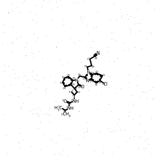 CC(C)NC(=O)N[C@H]1C[C@@]2(C1)C(=O)N(Cc1nc3cc(Cl)ccc3n1CCCC#N)c1ccccc12